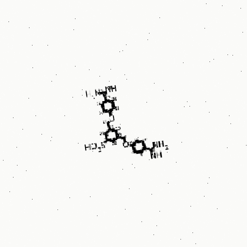 N=C(N)c1ccc(OCc2cc(COc3ccc(C(=N)N)cc3)cc(S(=O)(=O)O)c2)cc1